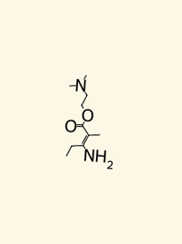 CCC(N)=C(C)C(=O)OCCN(C)C